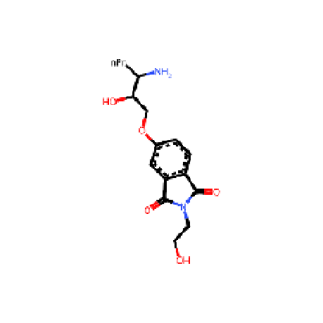 CCCC(N)C(O)COc1ccc2c(c1)C(=O)N(CCO)C2=O